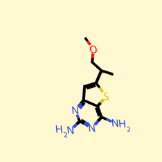 COCC(C)c1cc2nc(N)nc(N)c2s1